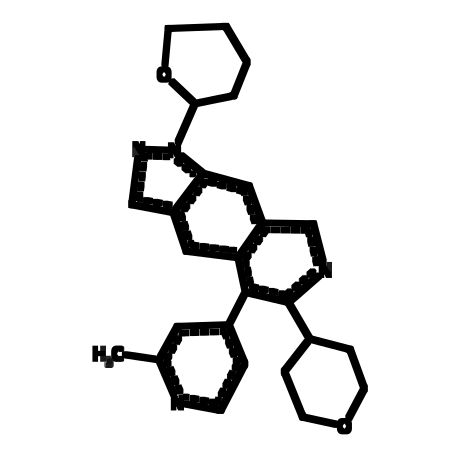 Cc1cc(-c2c(C3CCOCC3)ncc3cc4c(cnn4C4CCCCO4)cc23)ccn1